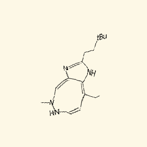 Cc1cc[nH]n(C)cc2nc(CCC(C)(C)C)[nH]c12